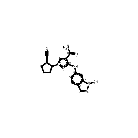 N#CC1CCCC1n1cc(C(N)=O)c(Nc2ccc3c(c2)B(O)OC3)n1